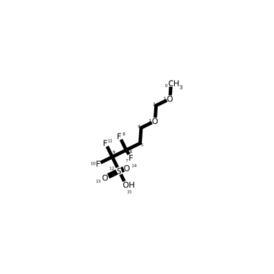 COCOCCC(F)(F)C(F)(F)S(=O)(=O)O